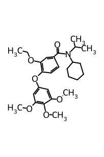 CCOc1cc(C(=O)N(C(C)C)C2CCCCC2)ccc1Oc1cc(OC)c(OC)c(OC)c1